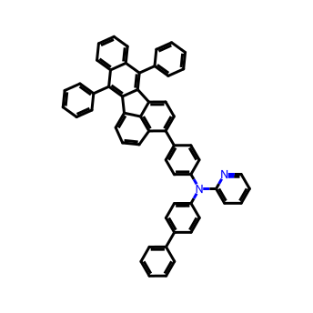 c1ccc(-c2ccc(N(c3ccc(-c4ccc5c6c(cccc46)-c4c-5c(-c5ccccc5)c5ccccc5c4-c4ccccc4)cc3)c3ccccn3)cc2)cc1